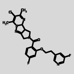 CC1=NC2C3CN(C(=O)c4ccc(F)cc4OCCc4cncc(F)c4)CC3=NN2C(C)=C1Cl